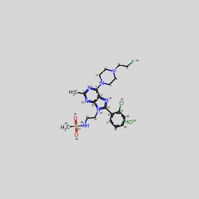 Cc1nc(N2CCN(CCF)CC2)c2nc(-c3ccccc3Cl)n(CCNS(C)(=O)=O)c2n1.Cl